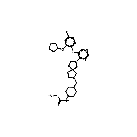 CC(C)(C)OC(=O)NC1CCC(CN2CCC3(CCN(c4ncncc4Oc4ccc(F)cc4OC4CCCC4)C3)C2)CC1